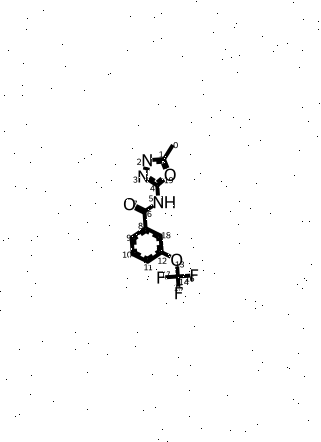 Cc1nnc(NC(=O)c2cccc(OC(F)(F)F)c2)o1